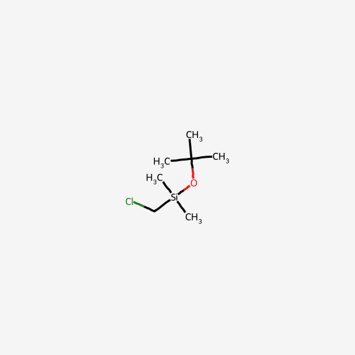 CC(C)(C)O[Si](C)(C)CCl